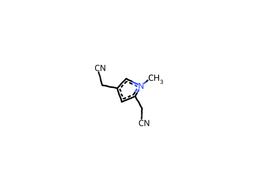 Cn1cc(CC#N)cc1CC#N